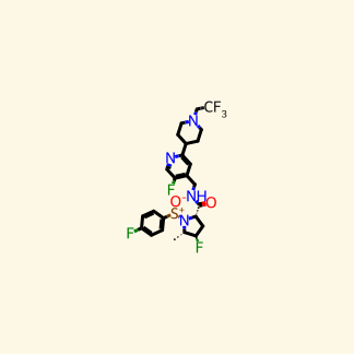 C[C@H]1[C@H](F)C[C@@H](C(=O)NCc2cc(C3CCN(CC(F)(F)F)CC3)ncc2F)N1[S+]([O-])c1ccc(F)cc1